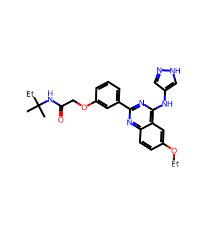 CCOc1ccc2nc(-c3cccc(OCC(=O)NC(C)(C)CC)c3)nc(Nc3cn[nH]c3)c2c1